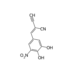 C#C/C(C#N)=C/c1cc(O)c(O)c([N+](=O)[O-])c1